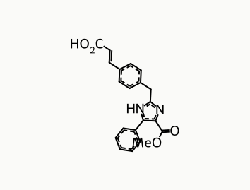 COC(=O)c1nc(Cc2ccc(/C=C/C(=O)O)cc2)[nH]c1-c1ccccc1